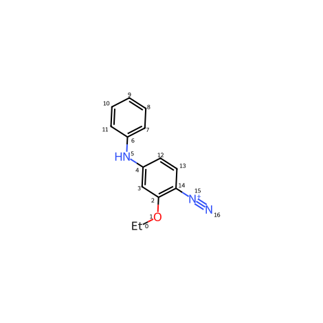 CCOc1cc(Nc2ccccc2)ccc1[N+]#N